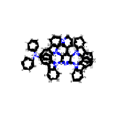 c1ccc(N(c2ccccc2)c2ccc3c(c2)c2ccccc2n3-c2nc(-n3c4ccccc4c4ccccc43)c(-n3c4ccccc4c4ccccc43)c(-c3cccnc3)c2-n2c3ccccc3c3ccccc32)cc1